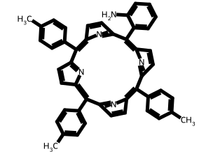 Cc1ccc(C2=C3C=CC(=N3)C(c3ccc(C)cc3)=C3C=CC(=N3)C(c3ccccc3N)=C3C=CC(=N3)C(c3ccc(C)cc3)=C3C=CC2=N3)cc1